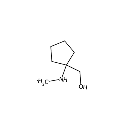 [CH2]NC1(CO)CCCC1